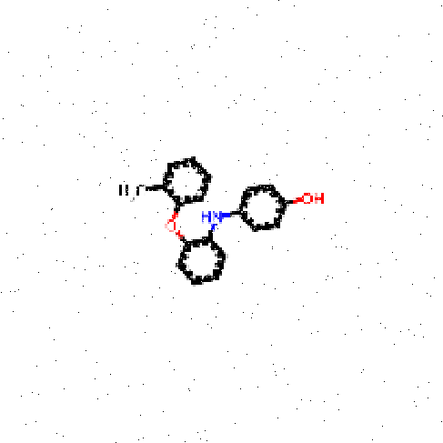 Cc1ccccc1Oc1ccccc1Nc1ccc(O)cc1